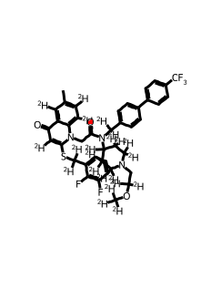 [2H]c1c(C)c([2H])c2c(=O)c([2H])c(SC([2H])([2H])c3cccc(F)c3F)n(CC(=O)N(C([2H])([2H])c3ccc(-c4ccc(C(F)(F)F)cc4)cc3)C3([2H])C([2H])([2H])C([2H])([2H])N(CC([2H])([2H])OC([2H])([2H])[2H])C([2H])([2H])C3([2H])[2H])c2c1[2H]